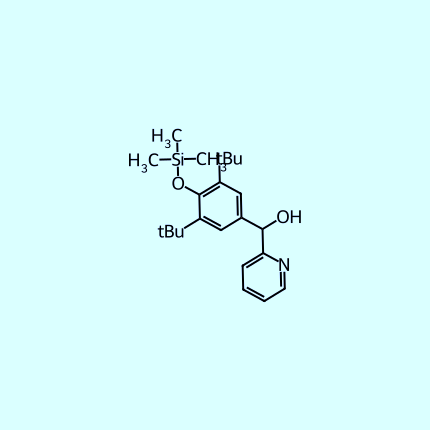 CC(C)(C)c1cc(C(O)c2ccccn2)cc(C(C)(C)C)c1O[Si](C)(C)C